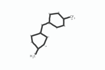 CC1CCC(CC2CCC(C(F)(F)F)CC2)CC1